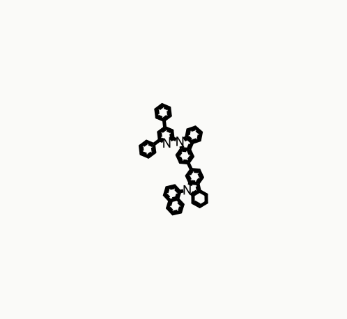 C1=Cc2c(c3ccc(-c4ccc5c(c4)c4ccccc4n5-c4cc(-c5ccccc5)cc(-c5ccccc5)n4)cc3n2-c2cccc3ccccc23)CC1